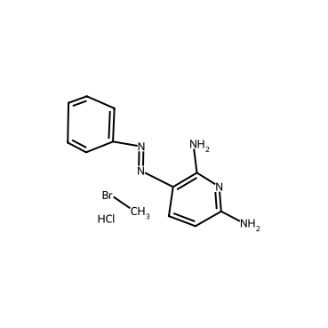 CBr.Cl.Nc1ccc(/N=N/c2ccccc2)c(N)n1